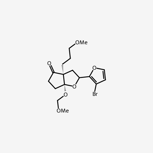 COCCC[C@]12CC(c3occc3Br)O[C@@]1(OCOC)CCC2=O